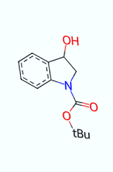 CC(C)(C)OC(=O)N1CC(O)c2ccccc21